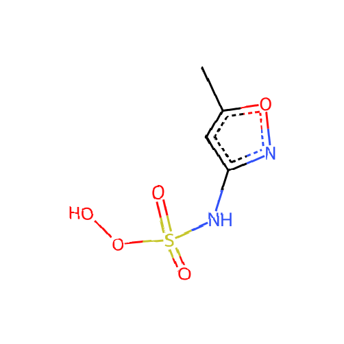 Cc1cc(NS(=O)(=O)OO)no1